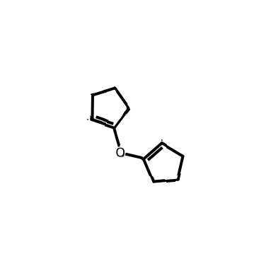 [C]1=C(OC2=[C]CCC2)CCC1